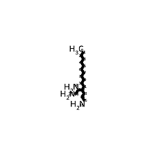 CCCCCCCCCCCCC(CCCN)C(N)CN